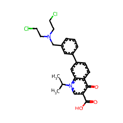 CC(C)n1cc(C(=O)O)c(=O)c2ccc(-c3cccc(CN(CCCl)CCCl)c3)cc21